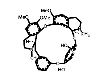 COc1cc2c3cc1Oc1c(OC)c(OC)cc4c1[C@@H](Cc1cccc(c1)Oc1ccc(c(O)c1)C[C@@H]3N(C)CC2)N(C)CC4.Cl